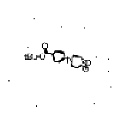 CC(C)(C)OC(=O)c1ccc(N2CCS(=O)(=O)CC2)cc1